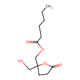 CCCCCC(=O)OCC1(CO)CCC(=O)O1